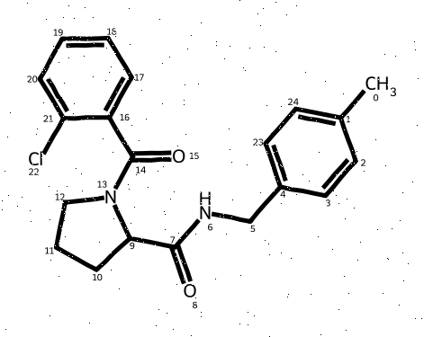 Cc1ccc(CNC(=O)C2CCCN2C(=O)c2ccccc2Cl)cc1